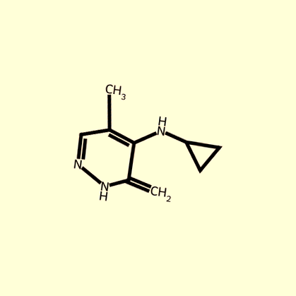 C=C1NN=CC(C)=C1NC1CC1